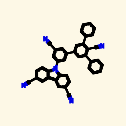 N#Cc1cc(-c2cc(-c3ccccc3)c(C#N)c(-c3ccccc3)c2)cc(-n2c3ccc(C#N)cc3c3cc(C#N)ccc32)c1